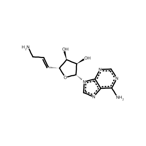 NCC=C[C@H]1O[C@@H](n2cnc3c(N)ncnc32)[C@H](O)[C@@H]1O